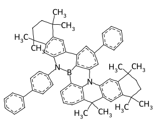 CC1(C)CCC(C)(C)c2cc3c(cc21)-c1cc(-c2ccccc2)cc2c1B(c1cccc4c1N2c1cc2c(cc1C4(C)C)C(C)(C)CCC2(C)C)N3c1ccc(-c2ccccc2)cc1